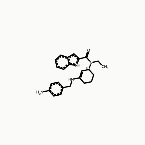 CCN(C(=O)c1cc2ccccc2[nH]1)[C@@H]1C=C(NCc2ccc(N)cc2)CCC1